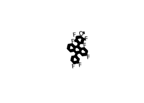 COc1c(F)c(F)c(-c2c3ccccc3c(-c3ccc(F)c(F)c3)c3cc(F)ccc23)c(F)c1F